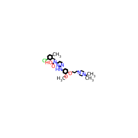 COc1cc(Nc2nccc(N(Cc3cc(Cl)ccc3C)C(=O)O)n2)ccc1OCCCN1CCN(C(C)C)CC1